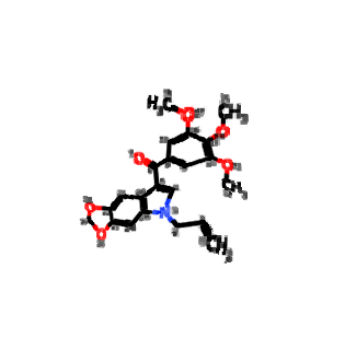 C=CCn1cc(C(=O)c2cc(OC)c(OC)c(OC)c2)c2cc3c(cc21)OCO3